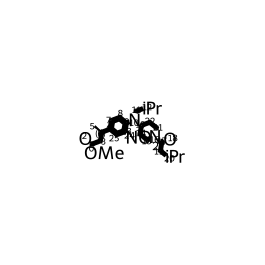 COC(=O)C[C@@H](C)c1ccc(N(CC(C)C)C2CCN(C(=O)CC(C)C)CC2)c([N+](=O)[O-])c1